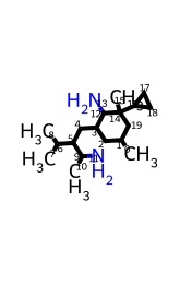 CC1CC(CC(C(C)C)C(C)N)C(N)C(C)(C2CC2)C1